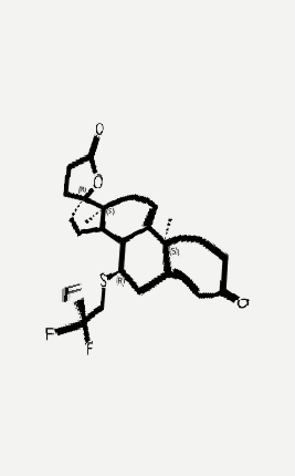 C[C@]12CCC(=O)C=C1C[C@@H](SCC(F)(F)F)C1C2=CC[C@@]2(C)C1CC[C@@]21CCC(=O)O1